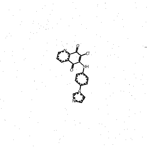 O=C1C(Nc2ccc(-n3ccnc3)cc2)=C(Cl)C(=O)c2ncccc21